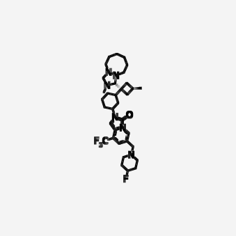 CN1CN2CCCCCCN2C1[C@]1(C2CCCC(n3cc4c(C(F)(F)F)cc(CN5CCC(F)CC5)cn4c3=O)C2)C[C@@H](C)C1